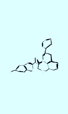 O=C(N[N+]12C=C(c3ccccc3)CC3=C1C(CC=C3)CNCC2=O)c1cc2cc(Cl)ccc2[nH]1